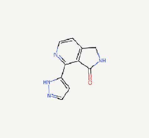 O=C1NCc2ccnc(-c3ccn[nH]3)c21